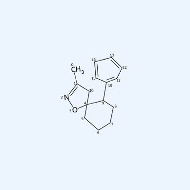 CC1=NOC2(CCCCC2c2ccccc2)C1